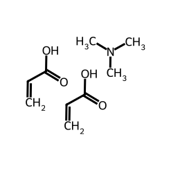 C=CC(=O)O.C=CC(=O)O.CN(C)C